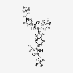 O=C(CCC(F)(F)F)NC(c1ccn2cc([C@@H](NC(=O)c3ccn(CCC(F)(F)F)n3)C3CCC(F)(F)CC3)nc2n1)C1CC1